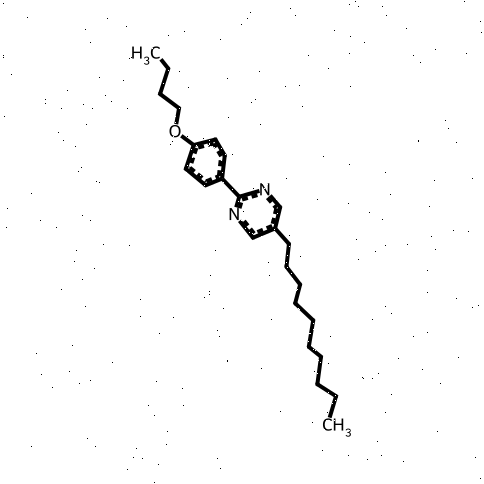 CCCCCCCCCCc1cnc(-c2ccc(OCCCC)cc2)nc1